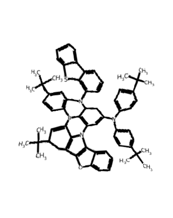 CC(C)(C)c1ccc(N(C2=CC3=C4B(C5=CC(C(C)(C)C)Cc6c5n3c3c6oc5ccccc53)c3ccc(C(C)(C)C)cc3N(c3cccc5c3sc3ccccc35)C4C2)c2ccc(C(C)(C)C)cc2)cc1